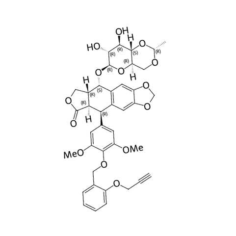 C#CCOc1ccccc1COc1c(OC)cc([C@@H]2c3cc4c(cc3[C@@H](O[C@@H]3O[C@@H]5CO[C@@H](C)O[C@H]5[C@H](O)[C@H]3O)[C@H]3COC(=O)[C@H]23)OCO4)cc1OC